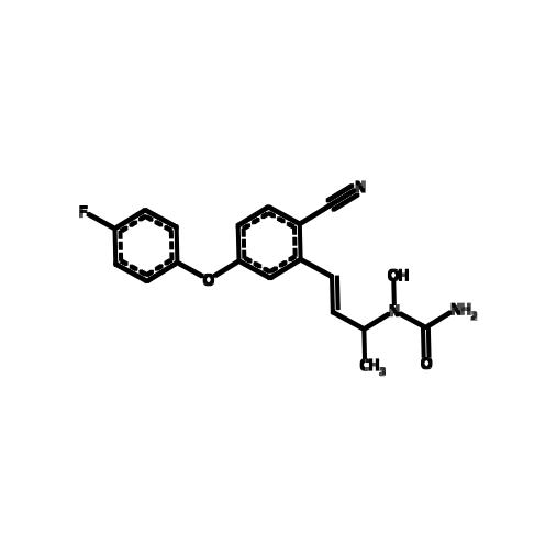 CC(/C=C/c1cc(Oc2ccc(F)cc2)ccc1C#N)N(O)C(N)=O